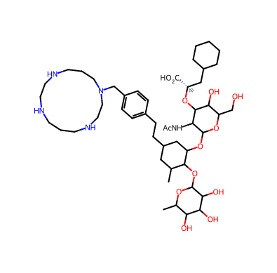 CC(=O)NC1C(OC2CC(CCc3ccc(CN4CCCNCCNCCCNCC4)cc3)CC(C)C2OC2OC(C)C(O)C(O)C2O)OC(CO)C(O)C1O[C@@H](CC1CCCCC1)C(=O)O